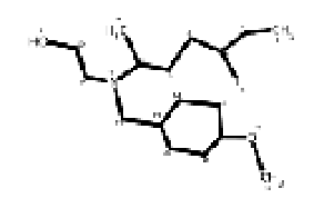 CCC(I)CCC(C)N(CCO)CC1CCC(OC)CC1